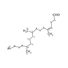 CC(=CCC[C]=O)CCCC(C)CCCC(C)CCCC(C)C